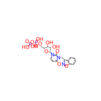 O=c1ccn(C2OC(COP(=O)(O)OP(=O)(O)O)C(O)[C@@H]2O)c(=O)n1Cc1noc2ccccc12